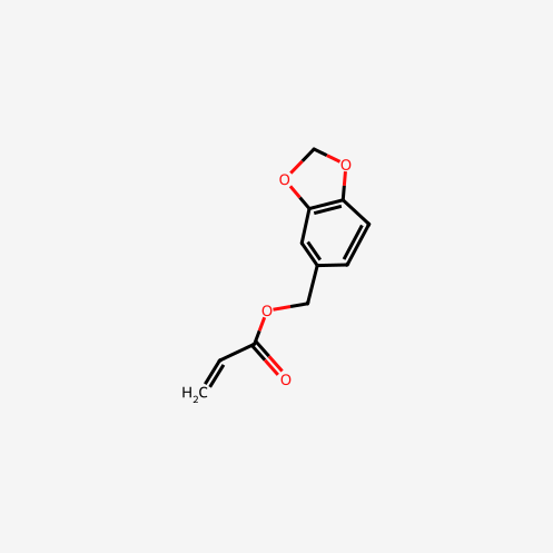 C=CC(=O)OCc1ccc2c(c1)OCO2